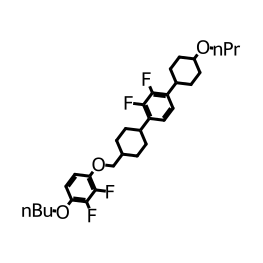 CCCCOc1ccc(OCC2CCC(c3ccc(C4CCC(OCCC)CC4)c(F)c3F)CC2)c(F)c1F